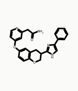 NC(=O)Cc1cc(Oc2ccc3c(c2)CC(c2nc(-c4ccccc4)c[nH]2)CO3)ccn1